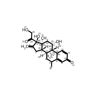 C=C1C[C@H]2[C@@H]3CC(F)C4=CC(=O)C=C[C@]4(C)[C@H]3[C@@H](O)C[C@]2(C)[C@@]1(O)C(=O)CO